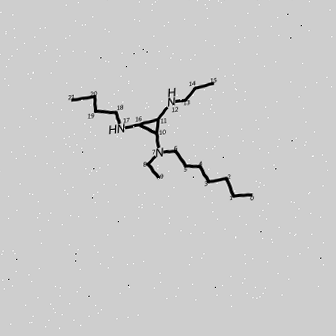 CCCCCCCN(CC)C1C(NCCC)C1NCCCC